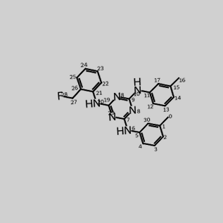 Cc1cccc(Nc2nc(Nc3cccc(C)c3)nc(Nc3ccccc3CF)n2)c1